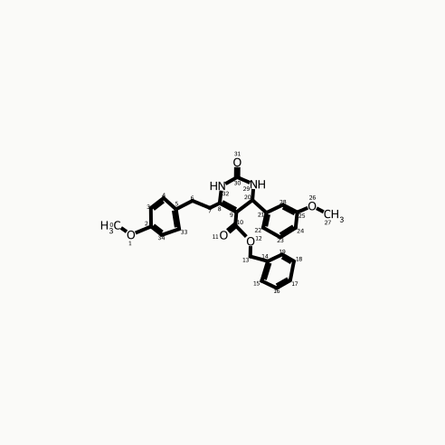 COc1ccc(CCC2=C(C(=O)OCc3ccccc3)C(c3cccc(OC)c3)NC(=O)N2)cc1